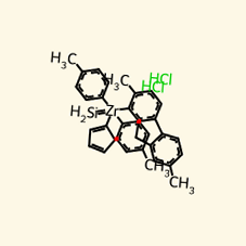 Cc1cc[c]([Zr](=[SiH2])([C]2=CC=CC2)([c]2ccc(C)cc2)[c]2c(C)ccc3c2Cc2cc(C)ccc2-3)cc1.Cl.Cl